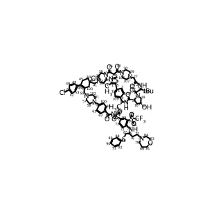 Cc1ncsc1-c1ccc([C@H](C)NC(=O)[C@@H]2C[C@@H](O)CN2C(=O)C(NC(=O)CN2CCN(C(=O)CC(=O)N3CCN(CC4(C)CCC(c5ccc(Cl)cc5)=C(CN5CCN(c6ccc(C(=O)NS(=O)(=O)c7ccc(NC(CCN8CCCOCC8)CSc8ccccc8)c(S(=O)(=O)C(F)(F)F)c7)cc6)CC5)C4)CC3)CC2)C(C)(C)C)cc1